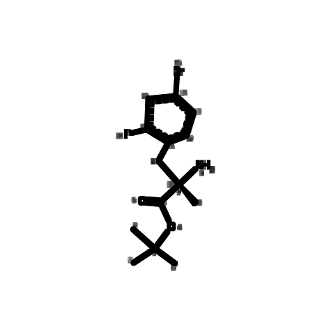 CC(C)(C)OC(=O)[C@@](C)(N)Cc1ccc(Br)cc1F